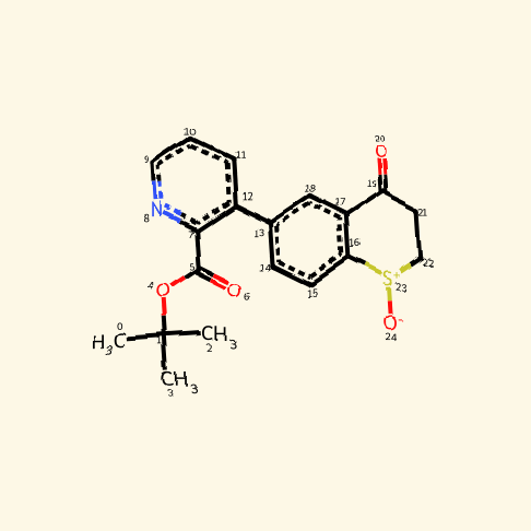 CC(C)(C)OC(=O)c1ncccc1-c1ccc2c(c1)C(=O)CC[S+]2[O-]